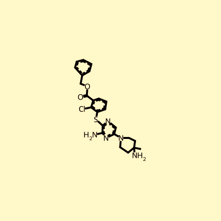 CC1(N)CCN(c2cnc(Sc3cccc(C(=O)OCc4ccccc4)c3Cl)c(N)n2)CC1